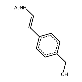 CC(=O)NC=Cc1ccc(CO)cc1